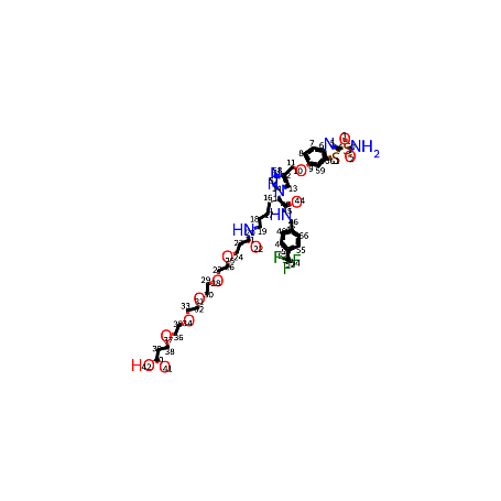 NS(=O)(=O)c1nc2ccc(OCc3cn([C@@H](CCCCNC(=O)CCOCCOCCOCCOCCOCCC(=O)O)C(=O)NCc4ccc(C(F)(F)F)cc4)nn3)cc2s1